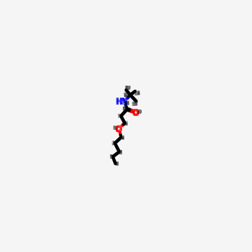 CCCCCOCCC(=O)NC(C)(C)C